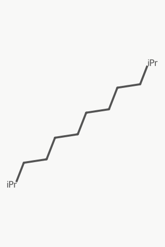 [CH2]C(C)CCCCCCCCC(C)C